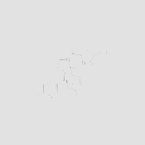 Cc1cc2n(n1)CC1(c3ccc(Cl)cc3)N(C(=O)c3ccc(F)nc3)CCN1C2=O